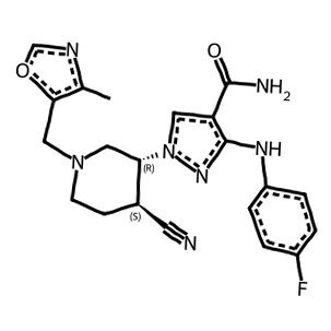 Cc1ncoc1CN1CC[C@H](C#N)[C@@H](n2cc(C(N)=O)c(Nc3ccc(F)cc3)n2)C1